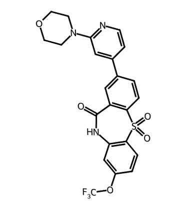 O=C1Nc2cc(OC(F)(F)F)ccc2S(=O)(=O)c2ccc(-c3ccnc(N4CCOCC4)c3)cc21